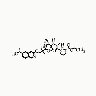 CC(C)[C@H](NC(=O)C(C)(C)COc1cc2cc([C@@H](C)O)ccc2cn1)C(=O)N[C@@H](C)C(=O)N1CCC[C@@H](C(=O)OCC(Cl)(Cl)Cl)N1